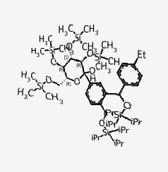 CCc1ccc(C(O[Si](C(C)C)(C(C)C)C(C)C)c2cc(C3(O)O[C@H](CO[Si](C)(C)C)[C@@H](O[Si](C)(C)C)[C@H](O[Si](C)(C)C)[C@H]3O[Si](C)(C)C)ccc2CO[Si](C(C)C)(C(C)C)C(C)C)cc1